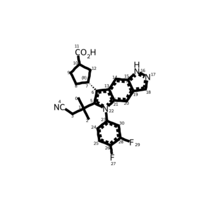 CC(C)(CC#N)c1c([C@@H]2CCC(C(=O)O)C2)c2cc3[nH]ncc3cc2n1-c1ccc(F)c(F)c1